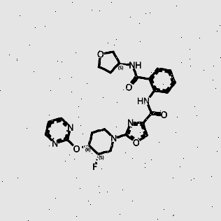 O=C(Nc1ccccc1C(=O)N[C@H]1CCOC1)c1coc(N2CC[C@@H](Oc3ncccn3)[C@@H](F)C2)n1